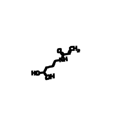 C=CC(=O)NCCCC(O)O